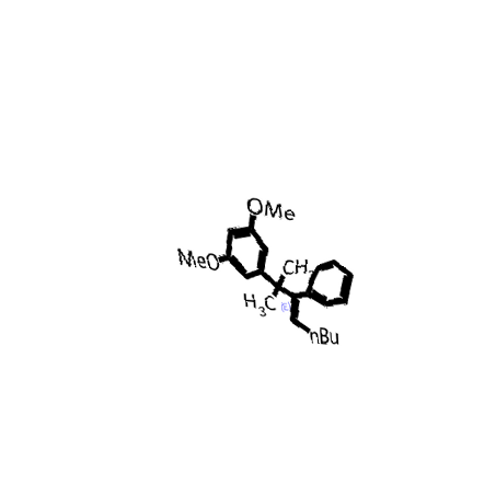 CCCC/C=C(\c1ccccc1)C(C)(C)c1cc(OC)cc(OC)c1